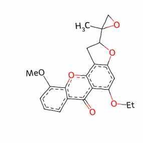 CCOc1cc2c(c3oc4c(OC)cccc4c(=O)c13)CC(C1(C)CO1)O2